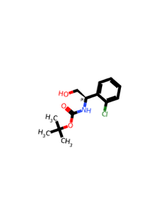 CC(C)(C)OC(=O)N[C@@H](CO)c1ccccc1Cl